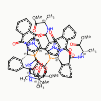 COC(=O)[C@H](C)NC(=O)c1ccccc1[C@@H]1n2c(=O)c3ccccc3c(=O)n2[C@@H](c2ccccc2C(=O)N[C@@H](C)C(=O)OC)P1c1ccccc1P1[C@H](c2ccccc2C(=O)N[C@@H](C)C(=O)OC)n2c(=O)c3ccccc3c(=O)n2[C@H]1c1ccccc1C(=O)N[C@@H](C)C(=O)OC